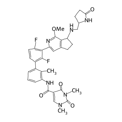 COc1nc(-c2c(F)ccc(-c3cccc(NC(=O)c4cn(C)c(=O)n(C)c4=O)c3C)c2F)cc2c1C(NCC1CCC(=O)N1)CC2